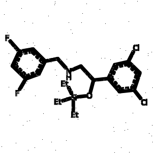 CC[Si](CC)(CC)OC(CNCc1cc(F)cc(F)c1)c1cc(Cl)cc(Cl)c1